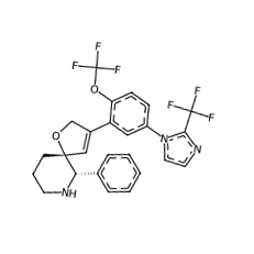 FC(F)(F)Oc1ccc(-n2ccnc2C(F)(F)F)cc1C1=C[C@@]2(CCCN[C@H]2c2ccccc2)OC1